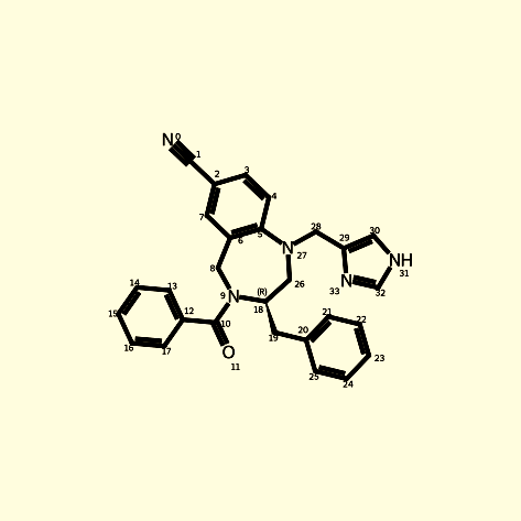 N#Cc1ccc2c(c1)CN(C(=O)c1ccccc1)[C@H](Cc1ccccc1)CN2Cc1c[nH]cn1